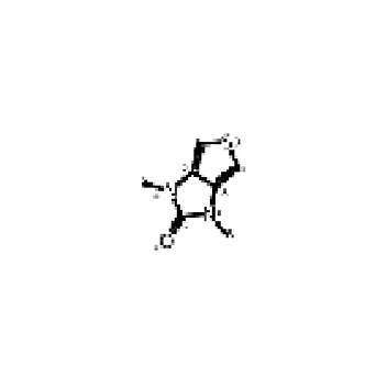 Cn1c(=O)n(C)c2cscc21